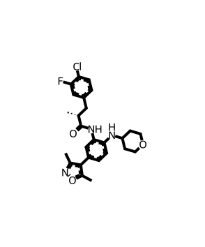 Cc1noc(C)c1-c1ccc(NC2CCOCC2)c(NC(=O)[C@H](C)Cc2ccc(Cl)c(F)c2)c1